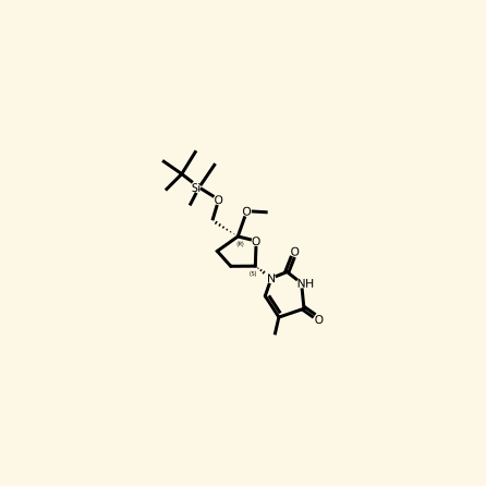 CO[C@]1(CO[Si](C)(C)C(C)(C)C)CC[C@@H](n2cc(C)c(=O)[nH]c2=O)O1